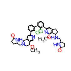 COc1nc(-c2cccc(-c3cccc(-c4cc5c(cn4)C(OC)CN(CC4CCC(=O)N4)C5)c3Cl)c2Cl)cc2c1C(NCC1CCC(=O)N1)CC2